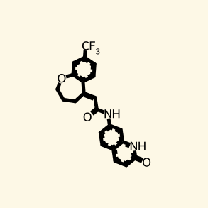 O=C(C=C1CCCOc2cc(C(F)(F)F)ccc21)Nc1ccc2ccc(=O)[nH]c2c1